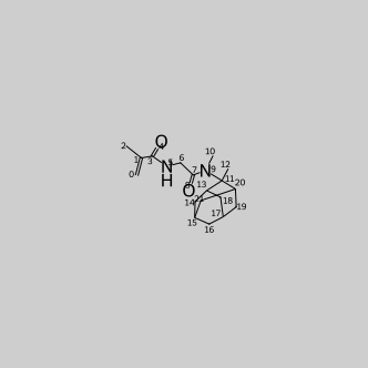 C=C(C)C(=O)NCC(=O)N(C)C1(C)C2CC3CC(C2)CC1C3